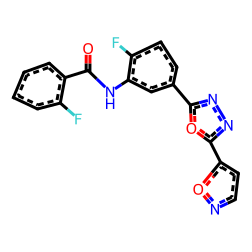 O=C(Nc1cc(-c2nnc(-c3ccno3)o2)ccc1F)c1ccccc1F